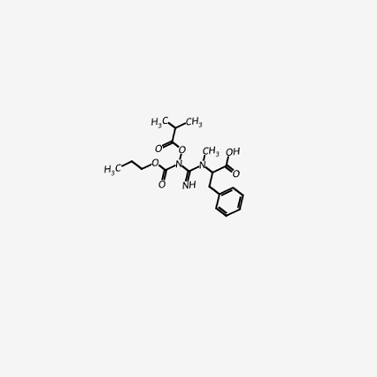 CCCOC(=O)N(OC(=O)C(C)C)C(=N)N(C)C(Cc1ccccc1)C(=O)O